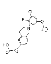 O=C(O)[C@@H]1C[C@H]1c1ccc2c(c1)CCN(c1cc(OC3CCC3)cc(Cl)c1F)C2